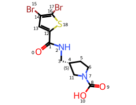 O=C(NC[C@@H]1CCN(C(=O)O)C1)c1cc(Br)c(Br)s1